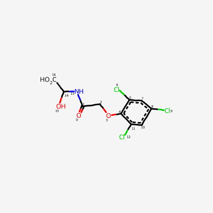 O=C(COc1c(Cl)cc(Cl)cc1Cl)NC(O)C(=O)O